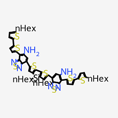 CCCCCCc1ccc(-c2ccc(-c3c(N)cc(-c4cc5c(s4)-c4sc(-c6cc(N)c(-c7ccc(-c8ccc(CCCCCC)s8)s7)c7nsnc67)cc4[Si]5(CCCCCC)CCCCCC)c4nsnc34)s2)s1